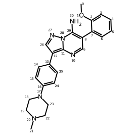 COc1ccccc1-c1cnc2c(-c3ccc(N4CCN(C)CC4)cc3)cnn2c1N